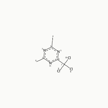 Cc1nc(I)nc(C(Cl)(Cl)Cl)n1